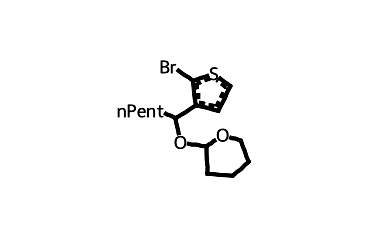 CCCCCC(OC1CCCCO1)c1ccsc1Br